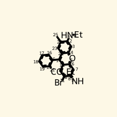 CCNc1cc2oc3cc(=N)c(Br)cc-3c(-c3ccccc3C(=O)OCC)c2cc1C